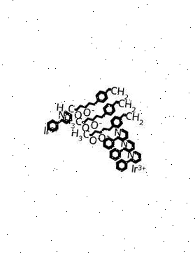 C=Cc1ccc(CCC([O-])CC(C)[O-])cc1.C=Cc1ccc(CCC([O-])CC(C)[O-])cc1.C=Cc1ccc(CCC([O-])CC(C)[O-])cc1.[Ir+3].[Ir+3].c1ccc(-c2ccccn2)cc1.c1ccc(-c2ccccn2)cc1.c1ccc(-c2ccccn2)cc1.c1ccc(-c2ccccn2)cc1